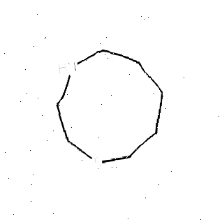 [CH]1CCNCCSCC1